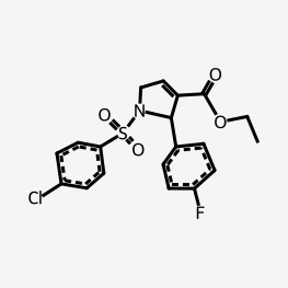 CCOC(=O)C1=CCN(S(=O)(=O)c2ccc(Cl)cc2)C1c1ccc(F)cc1